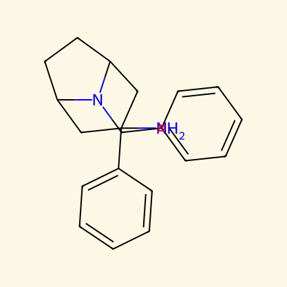 NC1(c2ccccc2)CC2CCC(C1)N2Cc1ccccc1